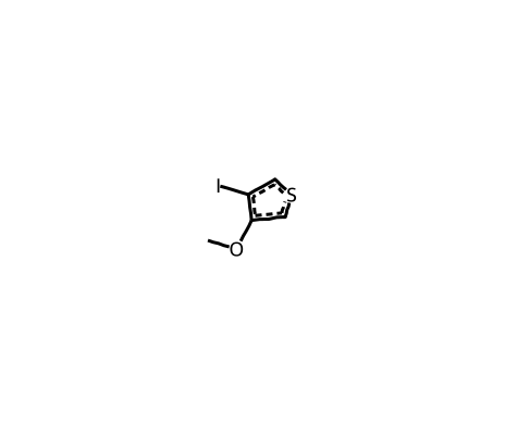 COc1cscc1I